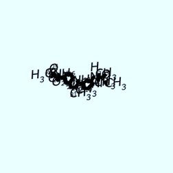 CNC(=O)C(C)(C)Nc1cccc(C2Nc3ccc(C(=O)NS(C)(=O)=O)cc3CC2(C)C)c1